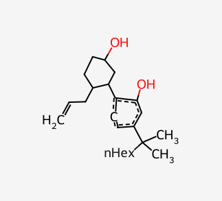 C=CCC1CCC(O)CC1c1ccc(C(C)(C)CCCCCC)cc1O